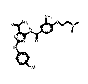 COc1ccc(Nc2nc(C(N)=O)c(NC(=O)c3ccc(OCCN(C)C)c(N)c3)s2)cc1